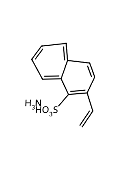 C=Cc1ccc2ccccc2c1S(=O)(=O)O.N